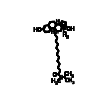 CC(C)N(C)C(=O)CCCCCCCCCCCC[C@H]1C[C@]2(C)[C@@H](O)CC[C@H]2[C@@H]2CCc3cc(O)ccc3[C@@H]12